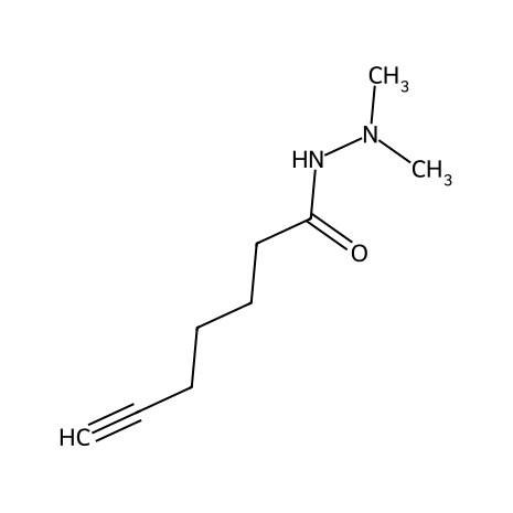 C#CCCCCC(=O)NN(C)C